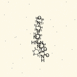 O=C1NCC2(CCCCC2)c2c1oc1cnc(Nc3ccc(N4CCC(N5CCOCC5)CC4)cn3)nc21